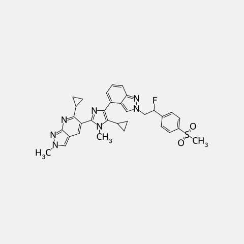 Cn1cc2cc(-c3nc(-c4cccc5nn(CC(F)c6ccc(S(C)(=O)=O)cc6)cc45)c(C4CC4)n3C)c(C3CC3)nc2n1